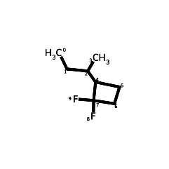 CCC(C)C1CCC1(F)F